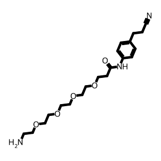 N#CCCc1ccc(NC(=O)CCOCCOCCOCCOCCN)cc1